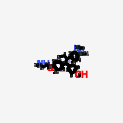 CC/C(=C(/c1ccc(O)cc1)c1ccc(OCCNC)cc1)c1ccc2c(c1)ncn2C